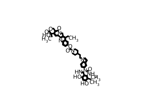 CCc1c2c(nc3ccc(OC(=O)N4CCC(CCn5ccc6cc(N(C(=N)c7cc(C(C)C)c(O)cc7O)C(N)=O)ccc65)CC4)cc13)-c1cc3c(c(=O)n1C2)COC(=O)C3(O)CC